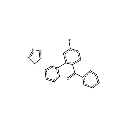 C1=NN=NC1.O=C(c1ccccc1)c1ccc(Br)cc1-c1ccccc1